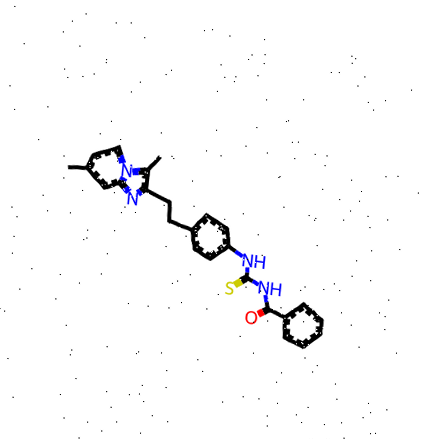 Cc1ccn2c(C)c(CCc3ccc(NC(=S)NC(=O)c4ccccc4)cc3)nc2c1